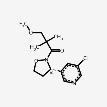 CC(C)(COC(F)(F)F)C(=O)N1OCC[C@H]1c1cncc(Cl)c1